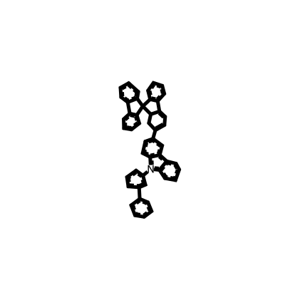 C1=C(c2ccc3c(c2)c2ccccc2n3-c2cccc(-c3ccccc3)c2)CC2C(=C1)c1ccccc1C21c2ccccc2-c2ccccc21